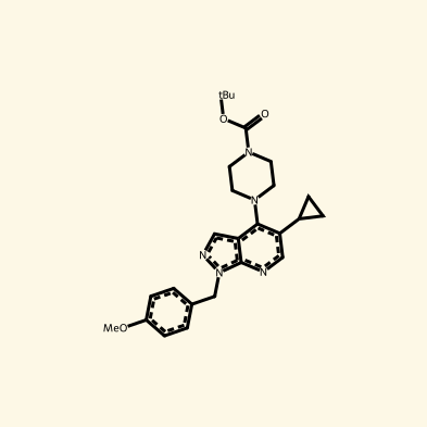 COc1ccc(Cn2ncc3c(N4CCN(C(=O)OC(C)(C)C)CC4)c(C4CC4)cnc32)cc1